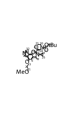 COCCCOc1cc(C(C)N(C(=O)[C@H]2CN(C(=O)OC(C)(C)C)CCO2)C2CC2)cc2c1cnn2C